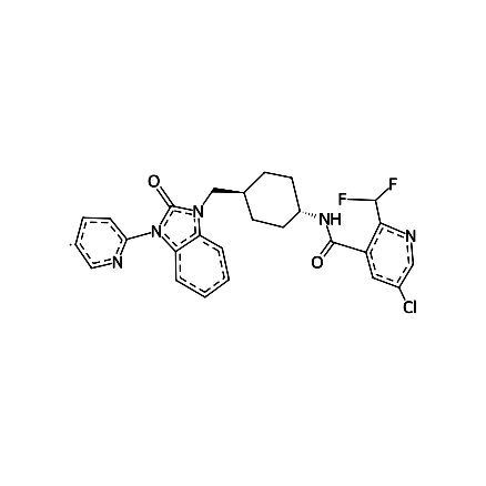 O=C(N[C@H]1CC[C@H](Cn2c(=O)n(-c3cc[c]cn3)c3ccccc32)CC1)c1cc(Cl)cnc1C(F)F